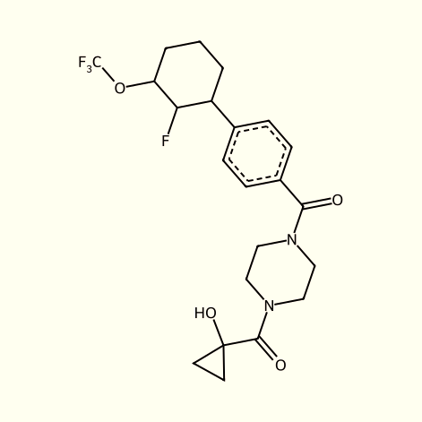 O=C(c1ccc(C2CCCC(OC(F)(F)F)C2F)cc1)N1CCN(C(=O)C2(O)CC2)CC1